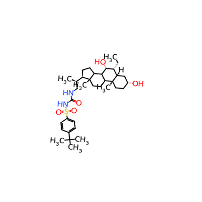 CC[C@H]1[C@@H](O)C2C3CC[C@H]([C@H](C)CNC(=O)NS(=O)(=O)c4ccc(C(C)(C)C)cc4)C3(C)CCC2[C@@]2(C)CC[C@@H](O)C[C@@H]12